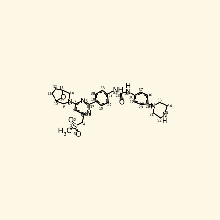 CS(=O)(=O)Cc1cc(N2CC3CCC(C2)O3)nc(-c2ccc(NC(=O)Nc3ccc(N4CCNCC4)cc3)cc2)n1